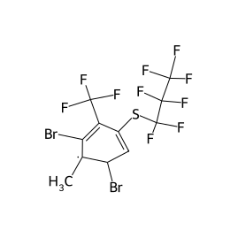 C[C]1C(Br)=C(C(F)(F)F)C(SC(F)(F)C(F)(F)C(F)(F)F)=CC1Br